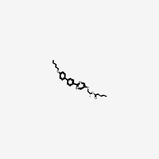 CCCCCOc1ccc(-c2ccc(-c3ncc(OC[C@@H](C)OC(=O)CCCC)cn3)cc2)cc1